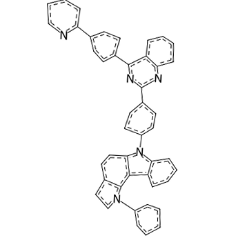 c1ccc(-n2ccc3ccc4c(c5ccccc5n4-c4ccc(-c5nc(-c6ccc(-c7ccccn7)cc6)c6ccccc6n5)cc4)c32)cc1